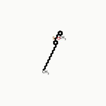 CCCCCCCCCCCCCCCCCc1ccc(C(=S)C(=Cc2ccccc2)OC)cc1